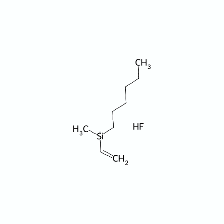 C=C[Si](C)CCCCCC.F